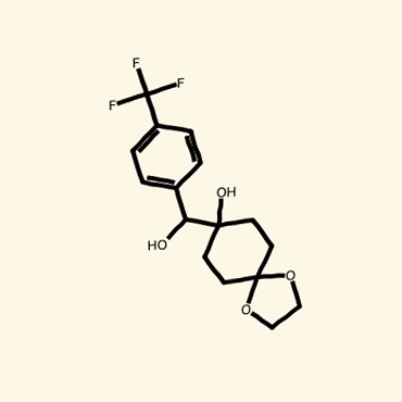 OC(c1ccc(C(F)(F)F)cc1)C1(O)CCC2(CC1)OCCO2